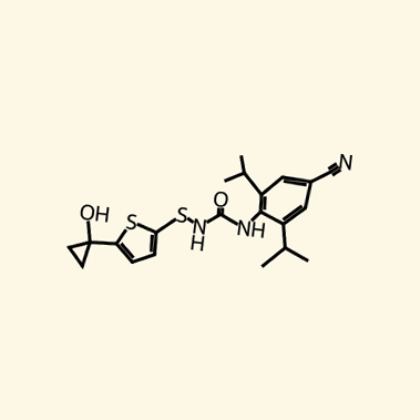 CC(C)c1cc(C#N)cc(C(C)C)c1NC(=O)NSc1ccc(C2(O)CC2)s1